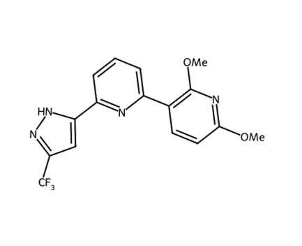 COc1ccc(-c2cccc(-c3cc(C(F)(F)F)n[nH]3)n2)c(OC)n1